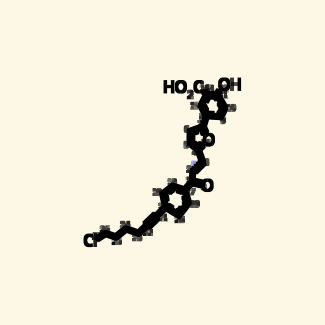 O=C(/C=C/c1ccc(-c2ccc(O)c(C(=O)O)c2)o1)c1ccc(C#CCCCCCl)cc1